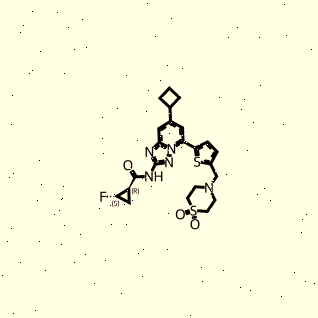 O=C(Nc1nc2cc(C3CCC3)cc(-c3ccc(CN4CCS(=O)(=O)CC4)s3)n2n1)[C@H]1C[C@@H]1F